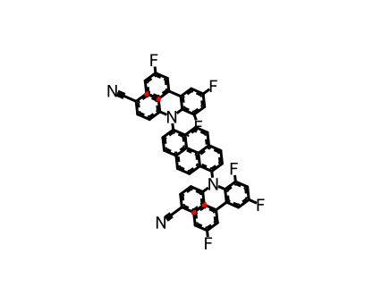 N#Cc1ccc(N(c2c(F)cc(F)cc2-c2cccc(F)c2)c2ccc3ccc4c(N(c5ccc(C#N)cc5)c5c(F)cc(F)cc5-c5cccc(F)c5)ccc5ccc2c3c54)cc1